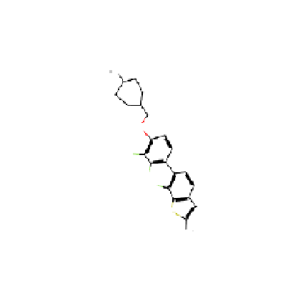 CCCc1cc2ccc(-c3ccc(OCC4CCC(CCC)CC4)c(F)c3F)c(F)c2s1